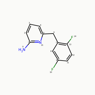 Nc1cccc(Cc2cc(F)ccc2F)n1